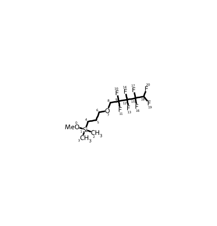 CO[Si](C)(C)CCCOCC(F)(F)C(F)(F)C(F)(F)C(F)F